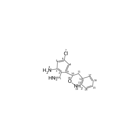 N=Cc1c(N)cc(Cl)cc1C(Cc1ccccc1)ON